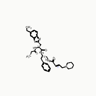 CCC(=O)N[C@@H](Cc1nc2ccc(CC)cc2s1)C(=O)N[C@H](CNC(=O)/C=C/CN1CCCCC1)Cc1ccccc1